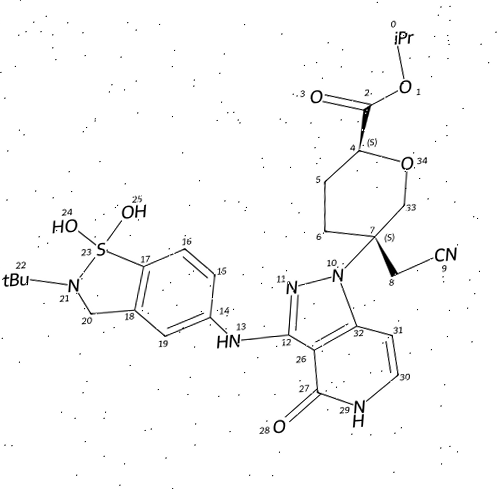 CC(C)OC(=O)[C@@H]1CC[C@@](CC#N)(n2nc(Nc3ccc4c(c3)CN(C(C)(C)C)S4(O)O)c3c(=O)[nH]ccc32)CO1